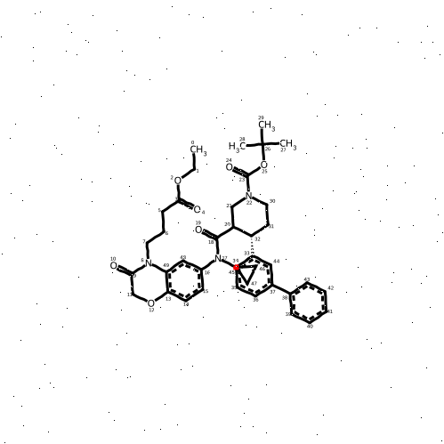 CCOC(=O)CCCN1C(=O)COc2ccc(N(C(=O)C3CN(C(=O)OC(C)(C)C)CC[C@@H]3c3cccc(-c4ccccc4)c3)C3CC3)cc21